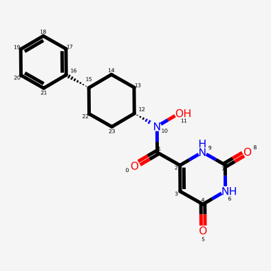 O=C(c1cc(=O)[nH]c(=O)[nH]1)N(O)[C@H]1CC[C@@H](c2ccccc2)CC1